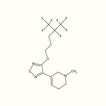 CN1CCC=C(c2nsnc2OCCCC(F)(C(F)(F)F)C(F)(F)F)C1